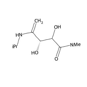 C=C(NC(C)C)[C@@H](O)C(O)C(=O)NC